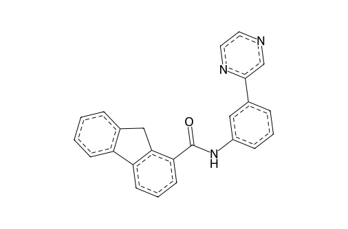 O=C(Nc1cccc(-c2cnccn2)c1)c1cccc2c1Cc1ccccc1-2